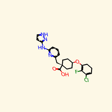 O=C(O)[C@]1(Cc2cccc(Nc3cc[nH]n3)n2)CC[C@@H](OC2=C(F)C(Cl)=CCC2)CC1